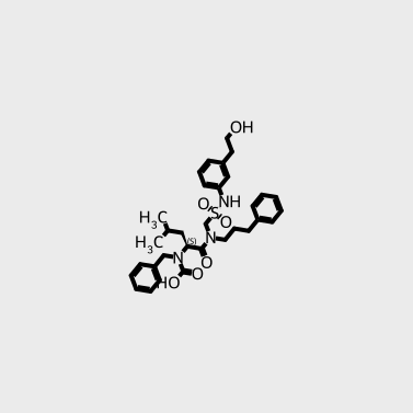 CC(C)C[C@@H](C(=O)N(CCCc1ccccc1)CS(=O)(=O)Nc1cccc(CCO)c1)N(Cc1ccccc1)C(=O)O